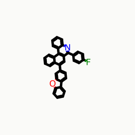 Fc1ccc(-c2nc3ccccc3c3c2cc(-c2ccc4c(c2)oc2ccccc24)c2ccccc23)cc1